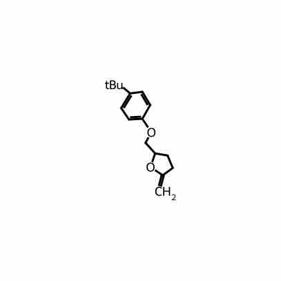 C=C1CCC(COc2ccc(C(C)(C)C)cc2)O1